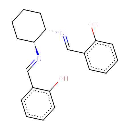 Oc1ccccc1C=N[C@H]1CCCC[C@@H]1N=Cc1ccccc1O